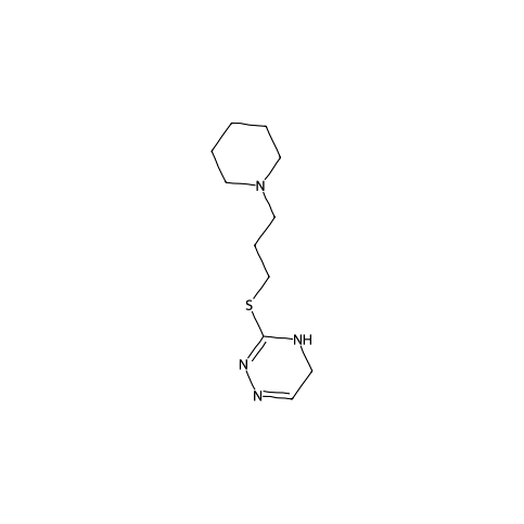 C1=NN=C(SCCCN2CCCCC2)NC1